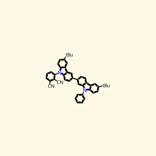 CC(C)(C)c1ccc2c(c1)c1ccc(-c3ccc4c(c3)c3cc(C(C)(C)C)ccc3n4-c3cccc(C#N)c3C#N)cc1n2-c1ccccc1